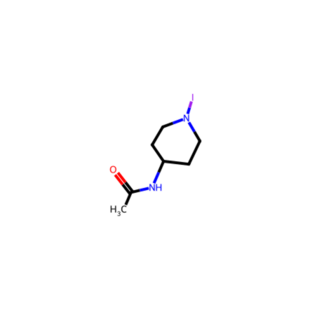 CC(=O)NC1CCN(I)CC1